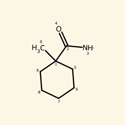 CC1(C([NH])=O)CCCCC1